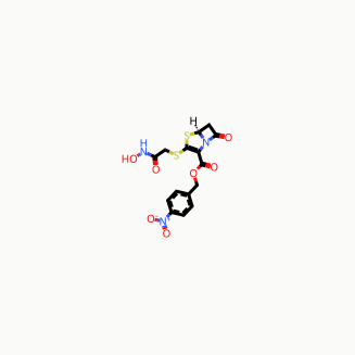 O=C(CSC1=C(C(=O)OCc2ccc([N+](=O)[O-])cc2)N2C(=O)C[C@@H]2S1)NO